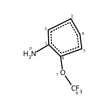 Nc1c[c]ccc1OC(F)(F)F